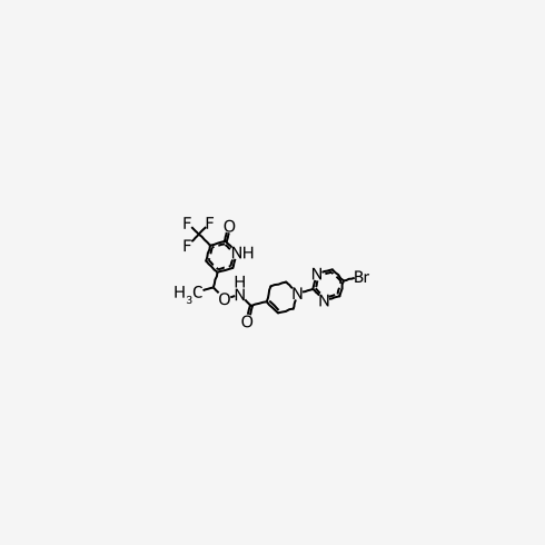 CC(ONC(=O)C1=CCN(c2ncc(Br)cn2)CC1)c1c[nH]c(=O)c(C(F)(F)F)c1